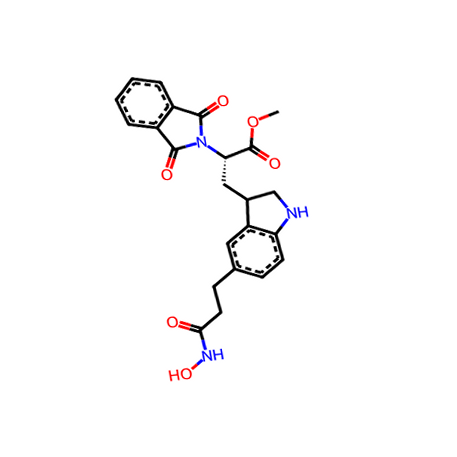 COC(=O)[C@H](CC1CNc2ccc(CCC(=O)NO)cc21)N1C(=O)c2ccccc2C1=O